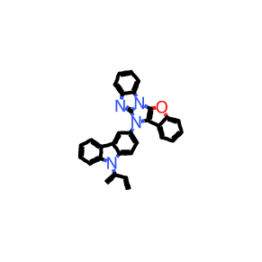 C=CC(=C)n1c2ccccc2c2cc(-n3c4c5ccccc5oc4n4c5ccccc5nc34)ccc21